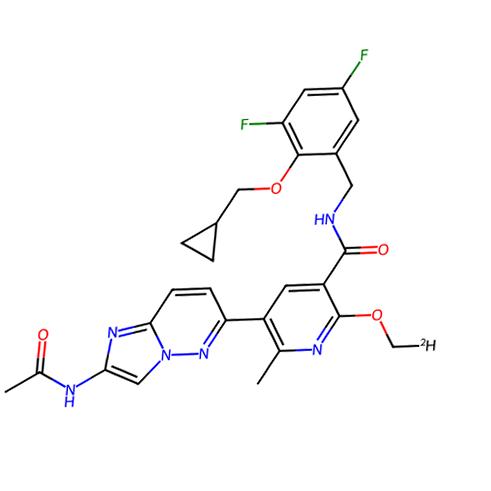 [2H]COc1nc(C)c(-c2ccc3nc(NC(C)=O)cn3n2)cc1C(=O)NCc1cc(F)cc(F)c1OCC1CC1